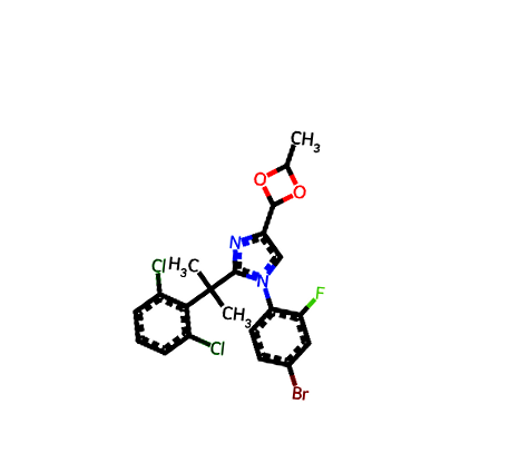 CC1OC(c2cn(-c3ccc(Br)cc3F)c(C(C)(C)c3c(Cl)cccc3Cl)n2)O1